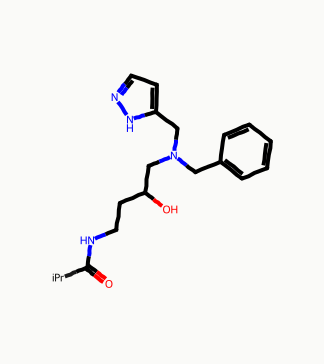 CC(C)C(=O)NCCC(O)CN(Cc1ccccc1)Cc1ccn[nH]1